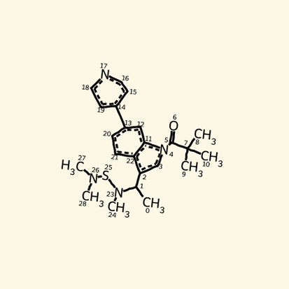 CC(c1cn(C(=O)C(C)(C)C)c2cc(-c3ccncc3)ccc12)N(C)SN(C)C